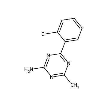 Cc1nc(N)nc(-c2ccccc2Cl)n1